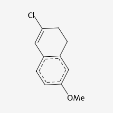 COc1ccc2c(c1)CCC(Cl)=C2